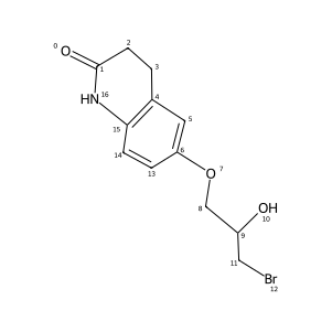 O=C1CCc2cc(OCC(O)CBr)ccc2N1